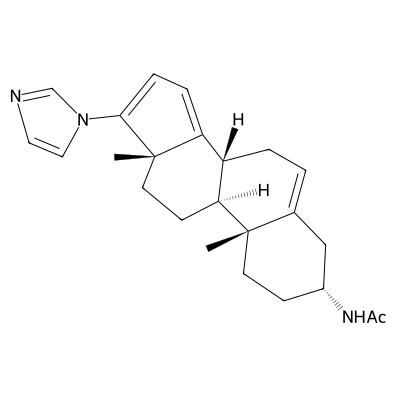 CC(=O)N[C@@H]1CC[C@@]2(C)C(=CC[C@H]3C4=CC=C(n5ccnc5)[C@@]4(C)CC[C@@H]32)C1